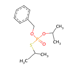 CC(C)OP(=O)(OCc1ccccc1)SC(C)C